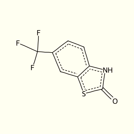 O=c1[nH]c2ccc(C(F)(F)F)cc2s1